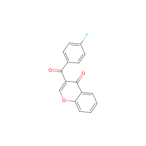 O=C(c1ccc(F)cc1)c1coc2ccccc2c1=O